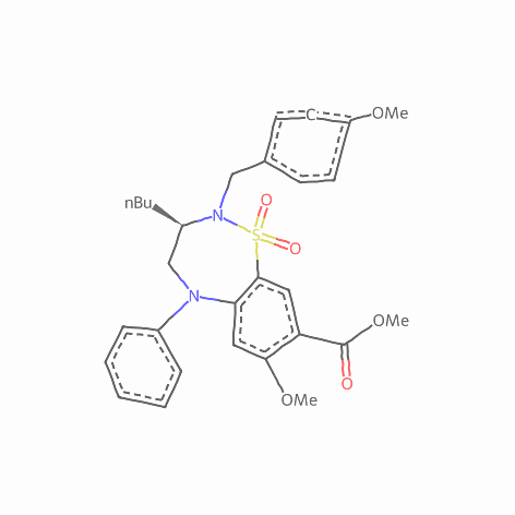 CCCC[C@@H]1CN(c2ccccc2)c2cc(OC)c(C(=O)OC)cc2S(=O)(=O)N1Cc1ccc(OC)cc1